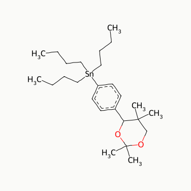 CCC[CH2][Sn]([CH2]CCC)([CH2]CCC)[c]1ccc(C2OC(C)(C)OCC2(C)C)cc1